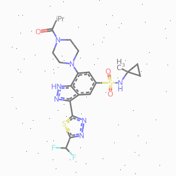 CC(C)C(=O)N1CCN(c2cc(S(=O)(=O)NC3(C)CC3)cc3c(-c4nnc(C(F)F)s4)n[nH]c23)CC1